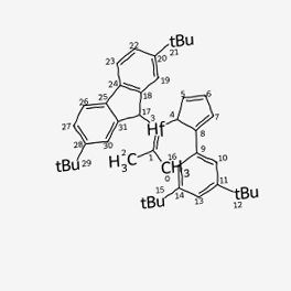 C[C](C)=[Hf]([CH]1C=CC=C1c1cc(C(C)(C)C)cc(C(C)(C)C)c1)[CH]1c2cc(C(C)(C)C)ccc2-c2ccc(C(C)(C)C)cc21